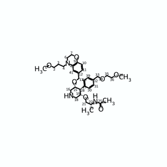 COCCCN1CCOc2ccc(CO[C@H]3CNC[C@@H](OC[C@@H](C)NC(C)=O)[C@@H]3c3ccc(COCCOC)cc3)cc21